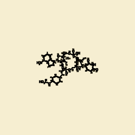 Nc1ncnc2c1ncn2[C@@H]1O[C@@H]2COP(=O)(O)O[C@H]3[C@@H](F)[C@H](n4ccc(=O)[nH]c4=O)O[C@@H]3COP(=O)(SCc3ccc(OC(=O)O)cc3)O[C@@H]1[C@@H]2F